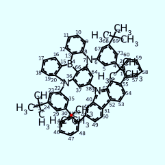 CC(C)(C)c1cc(N2c3ccccc3B3c4ccccc4N(c4cc(C(C)(C)C)cc(C(C)(C)C)c4)c4cc(-n5c6cc(-c7ccccc7)ccc6c6ccc(-c7ccccc7)cc65)cc2c43)cc(C(C)(C)C)c1